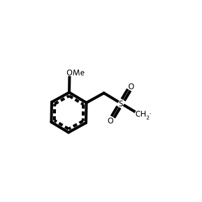 [CH2]S(=O)(=O)Cc1ccccc1OC